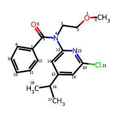 COCCN(C(=O)c1ccccc1)c1cc(C(C)C)cc(Cl)n1